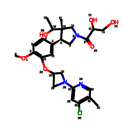 COc1ccc([C@@H]2CN(C(=O)C(O)CO)C[C@@]2(C)C(C)O)cc1OC1CN(c2cc(Cl)c(C)cn2)C1